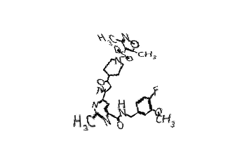 COc1cc(CNC(=O)c2cc(C3=NOC(C4CCN(S(=O)(=O)c5c(C)noc5C)CC4)C3)nc(C)n2)ccc1F